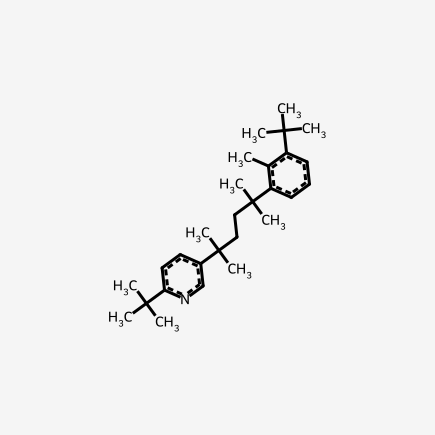 Cc1c(C(C)(C)C)cccc1C(C)(C)CCC(C)(C)c1ccc(C(C)(C)C)nc1